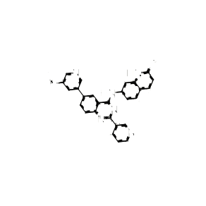 COc1cncc(-c2ccc3nc(-c4cccnc4)nc(Nc4ccc5ccc(=O)[nH]c5c4)c3c2)c1